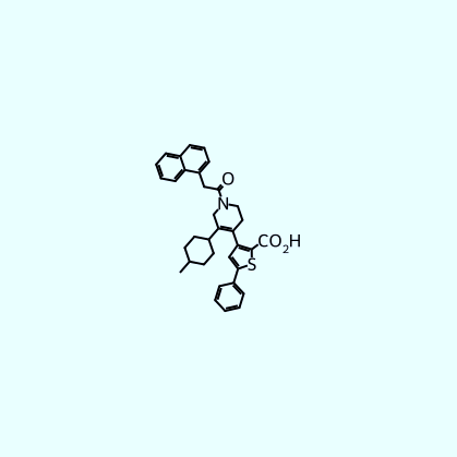 CC1CCC(C2=C(c3cc(-c4ccccc4)sc3C(=O)O)CCN(C(=O)Cc3cccc4ccccc34)C2)CC1